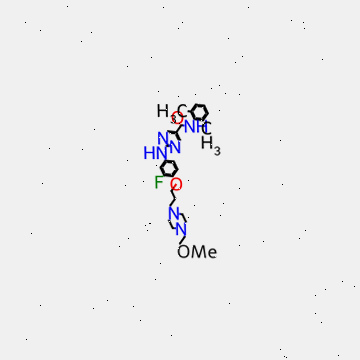 COCCN1CCN(CCCOc2ccc(Nc3ncc(C(=O)Nc4c(C)cccc4C)cn3)cc2F)CC1